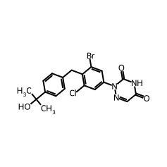 CC(C)(O)c1ccc(Cc2c(Cl)cc(-n3ncc(=O)[nH]c3=O)cc2Br)cc1